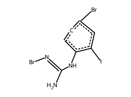 NC(=NBr)Nc1ccc(Br)cc1I